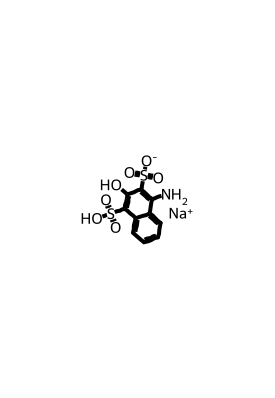 Nc1c(S(=O)(=O)[O-])c(O)c(S(=O)(=O)O)c2ccccc12.[Na+]